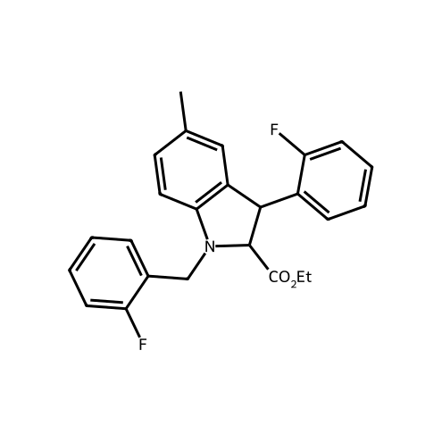 CCOC(=O)C1C(c2ccccc2F)c2cc(C)ccc2N1Cc1ccccc1F